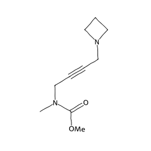 COC(=O)N(C)CC#CCN1CCC1